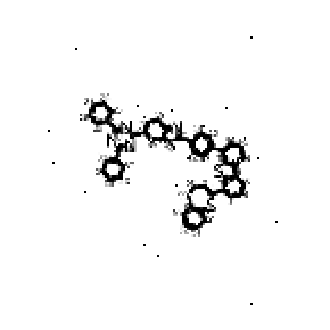 C1=C(c2cccc3c2sc2c(-c4ccc(-c5nc6ccc(-c7nc(-c8ccccc8)nc(-c8ccccc8)n7)cc6s5)cc4)cccc23)Sc2ccccc2CC1